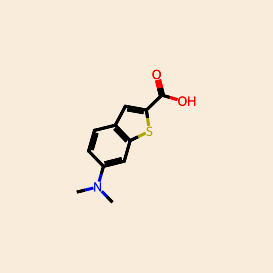 CN(C)c1ccc2cc(C(=O)O)sc2c1